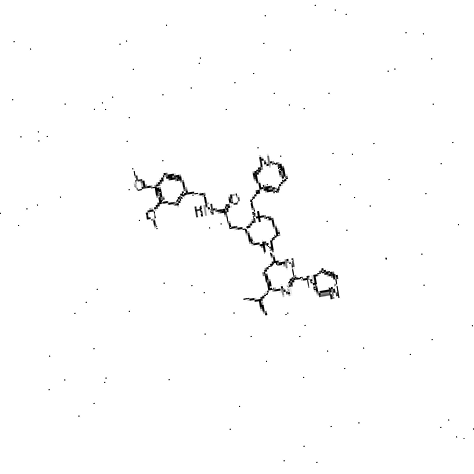 COc1ccc(CNC(=O)CC2CN(c3cc(C(C)C)nc(-n4ccnc4)n3)CCN2Cc2cccnc2)cc1OC